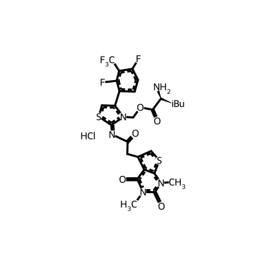 CC[C@H](C)[C@H](N)C(=O)OCn1c(-c2ccc(F)c(C(F)(F)F)c2F)csc1=NC(=O)Cc1csc2c1c(=O)n(C)c(=O)n2C.Cl